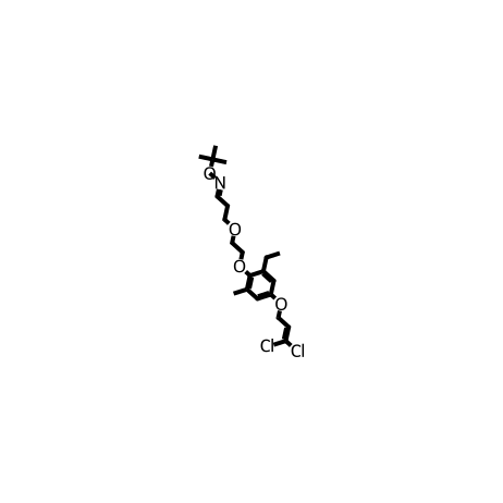 CCc1cc(OCC=C(Cl)Cl)cc(C)c1OCCOCC/C=N/OC(C)(C)C